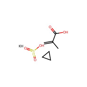 C1CC1.C=C(C)C(=O)O.O=[SH](=O)O.[KH]